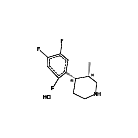 C[C@@H]1CNCC[C@@H]1c1cc(F)c(F)cc1F.Cl